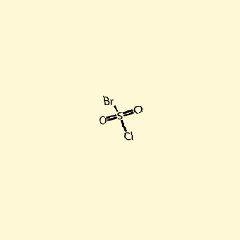 O=S(=O)(Cl)Br